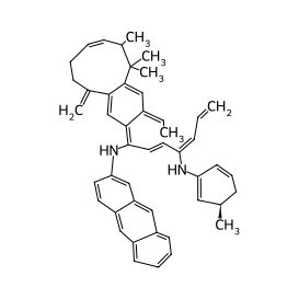 C=C\C=C(/C=C/C(Nc1ccc2cc3ccccc3cc2c1)=c1/cc2c(c/c1=C/C)C(C)(C)C(C)/C=C\CCC2=C)NC1=C[C@H](C)CC=C1